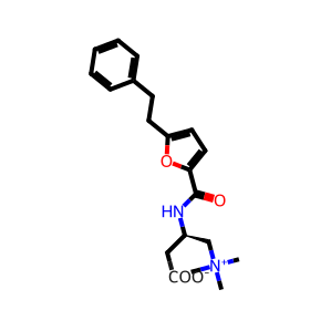 C[N+](C)(C)C[C@@H](CC(=O)[O-])NC(=O)c1ccc(CCc2ccccc2)o1